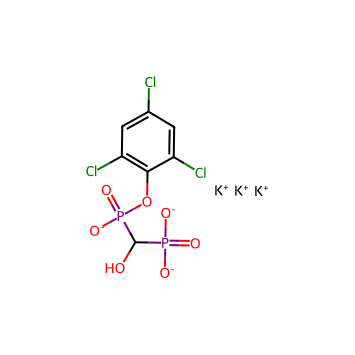 O=P([O-])([O-])C(O)P(=O)([O-])Oc1c(Cl)cc(Cl)cc1Cl.[K+].[K+].[K+]